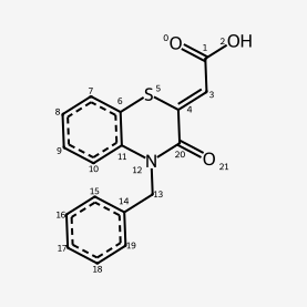 O=C(O)C=C1Sc2ccccc2N(Cc2ccccc2)C1=O